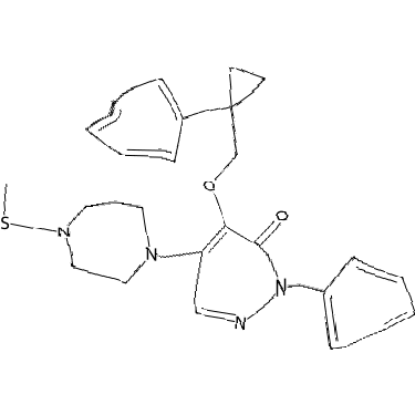 CSN1CCN(c2cnn(-c3ccccc3)c(=O)c2OCC2(c3ccccc3)CC2)CC1